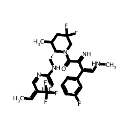 C\C=C(/N=C\C(=C/C)C(F)(F)F)NC[C@@H]1C(C)CC(F)(F)CN1C(=O)C(=N)/C(=C\NC)c1cccc(F)c1